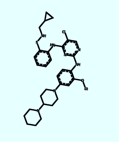 CCOc1cc(N2CCC(N3CCCCC3)CC2)ccc1Nc1ncc(Cl)c(Nc2ccccc2SNCC2CC2)n1